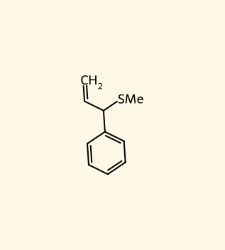 C=CC(SC)c1ccccc1